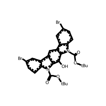 CC(C)(C)OC(=O)n1c2ccc(Br)cc2c2cc3c4cc(Br)ccc4n(C(=O)OC(C)(C)C)c3c(O)c21